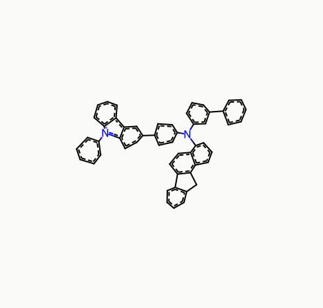 c1ccc(-c2cccc(N(c3ccc(-c4ccc5c(c4)c4ccccc4n5-c4ccccc4)cc3)c3cccc4c5c(ccc34)-c3ccccc3C5)c2)cc1